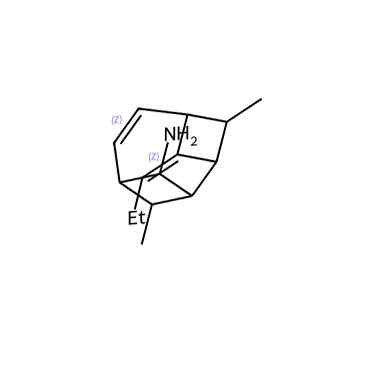 CC/C=C1/C2/C=C\C3C(C)C(C3N)C1C2C